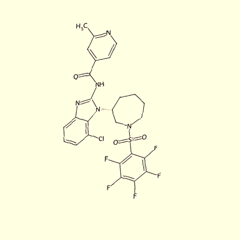 Cc1cc(C(=O)Nc2nc3cccc(Cl)c3n2[C@@H]2CCCCN(S(=O)(=O)c3c(F)c(F)c(F)c(F)c3F)C2)ccn1